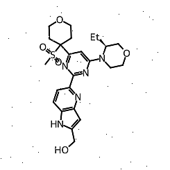 CC[C@H]1COCCN1c1cc(C2(S(C)(=O)=O)CCOCC2)nc(-c2ccc3[nH]c(CO)cc3n2)n1